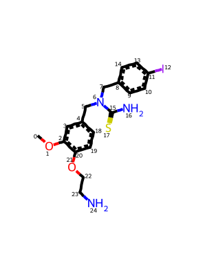 COc1cc(CN(Cc2ccc(I)cc2)C(N)=S)ccc1OCCN